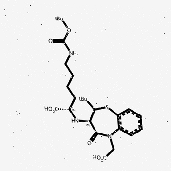 CC(C)(C)OC(=O)NCCCC[C@H](N[C@@H]1C(=O)N(CC(=O)O)c2ccccc2SC1C(C)(C)C)C(=O)O